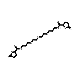 O=C1CCC(C(=O)NCCCOCCOCCOCCCNC(=O)C2CCC(=O)S2)S1